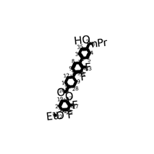 CCCC(O)c1ccc(-c2ccc(C3CCC(C(=O)Oc4ccc(OCC)c(F)c4F)CC3)c(F)c2F)cc1